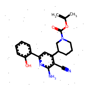 C=C(C)OC(=O)N1CCCC(c2cc(-c3ccccc3O)nc(N)c2C#N)C1